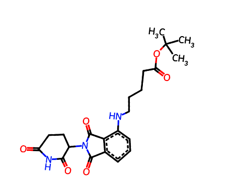 CC(C)(C)OC(=O)CCCCNc1cccc2c1C(=O)N(C1CCC(=O)NC1=O)C2=O